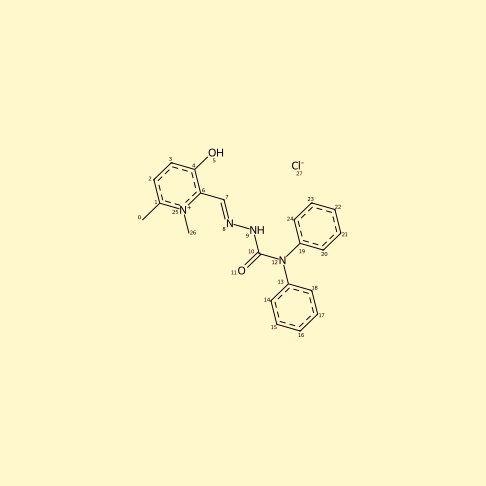 Cc1ccc(O)c(C=NNC(=O)N(c2ccccc2)c2ccccc2)[n+]1C.[Cl-]